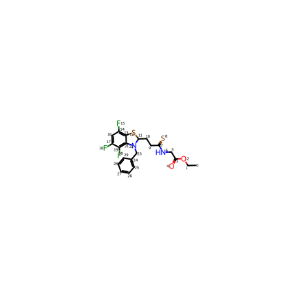 CCOC(=O)CNC(=S)CCC1Sc2c(F)cc(F)c(F)c2N1Cc1ccccc1